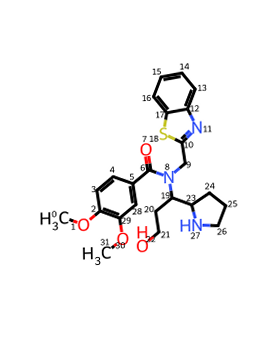 COc1ccc(C(=O)N(Cc2nc3ccccc3s2)C(CCO)C2CCCN2)cc1OC